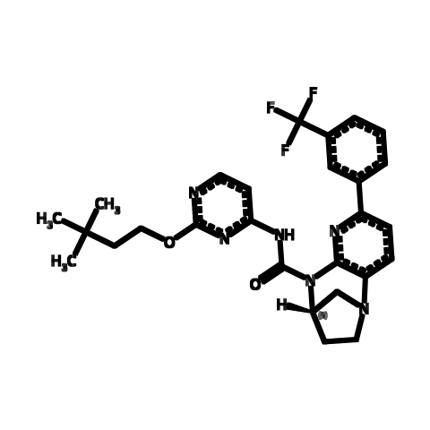 CC(C)(C)CCOc1nccc(NC(=O)N2c3nc(-c4cccc(C(F)(F)F)c4)ccc3N3CC[C@H]2C3)n1